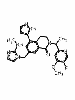 CNc1nccn1Cc1cc2c(c(-c3ccn[nH]3)c1)CCN([C@@H](C)c1cc(OC)c(F)cn1)C2=O